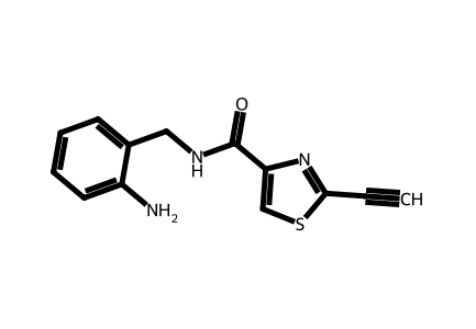 C#Cc1nc(C(=O)NCc2ccccc2N)cs1